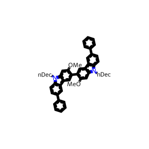 CCCCCCCCCCn1c2ccc(-c3ccccc3)cc2c2cc(-c3cc4c5cc(-c6ccccc6)ccc5n(CCCCCCCCCC)c4cc3OC)c(OC)cc21